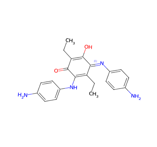 CCC1=C(O)/C(=N/c2ccc(N)cc2)C(CC)=C(Nc2ccc(N)cc2)C1=O